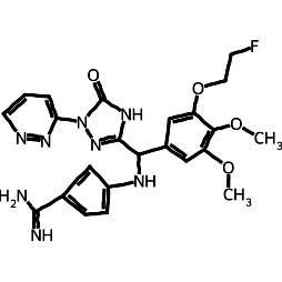 COc1cc(C(Nc2ccc(C(=N)N)cc2)c2nn(-c3cccnn3)c(=O)[nH]2)cc(OCCF)c1OC